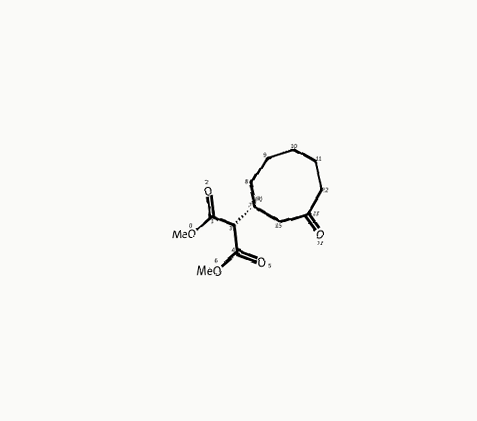 COC(=O)C(C(=O)OC)[C@@H]1CCCCCC(=O)C1